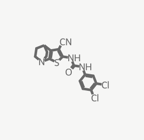 N#Cc1c(NC(=O)Nc2ccc(Cl)c(Cl)c2)sc2c1C1CCN2CC1